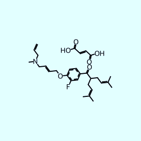 C=CCN(C)CC=CCOc1ccc(C(=O)C(CC=C(C)C)CC=C(C)C)cc1F.O=C(O)C=CC(=O)O